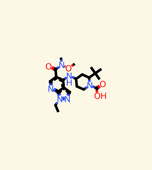 CCn1ncc2c(NC3CCN(C(=O)O)C(C(C)(C)C)C3)c(C(=O)N(C)OC)cnc21